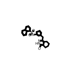 O=c1[nH]nc(Cc2cccc(NS(=O)(=O)c3cccc4ccccc34)c2)c2c1CCCC2